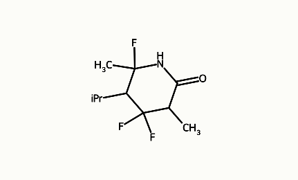 CC(C)C1C(C)(F)NC(=O)C(C)C1(F)F